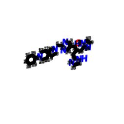 O=C(c1cnc(CN2CCC3(CCN(C4CCCCC4)CC3)C2)nc1)C(Cc1ncc[nH]1)Cc1ncc[nH]1